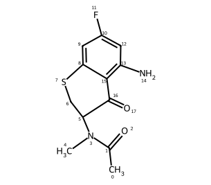 CC(=O)N(C)C1CSc2cc(F)cc(N)c2C1=O